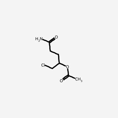 CC(=O)OC(CCl)CCC(N)=O